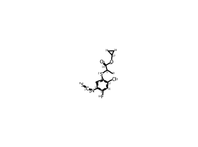 CC(Sc1cc(N=C=S)c(F)cc1Cl)C(=O)OC1CC1